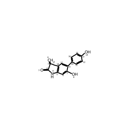 C=C1C(=O)Nc2cc(O)c(-c3ccc(O)cc3)cc21